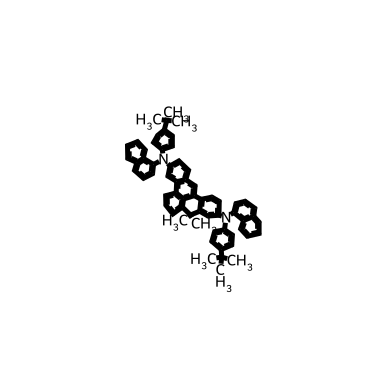 CC(C)(C)c1ccc(N(c2ccc3c(c2)C(C)(C)c2cccc4c2c-3cc2ccc(N(c3ccc(C(C)(C)C)cc3)c3cccc5ccccc35)cc24)c2cccc3ccccc23)cc1